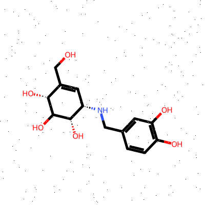 OCC1=C[C@H](NCc2ccc(O)c(O)c2)[C@H](O)C(O)[C@@H]1O